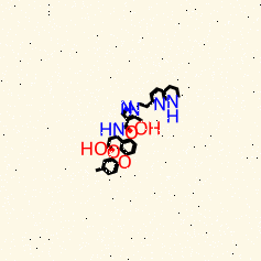 Cc1ccc(Oc2cccc(C(CC(=O)O)NC(=O)c3cnn(CCc4ccc5c(n4)NCCC5)c3CO)c2)cc1